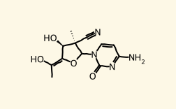 C/C(O)=C1\OC(n2ccc(N)nc2=O)[C@](C)(C#N)[C@@H]1O